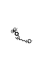 CCN(CCCCCN1CC[CH]CC1)Cc1ccc([N+](=O)[O-])cc1